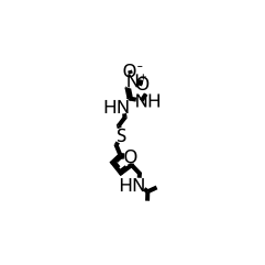 CN/C(=C\[N+](=O)[O-])NCCSCc1ccc(CNC(C)C)o1